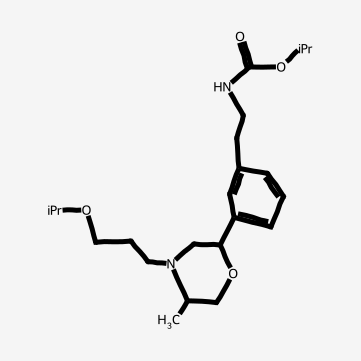 CC(C)OCCCN1CC(c2cccc(CCNC(=O)OC(C)C)c2)OCC1C